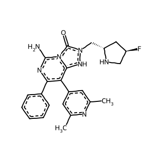 Cc1cc(-c2c(-c3ccccc3)nc(N)[n+]3c(=O)n(C[C@@H]4C[C@@H](F)CN4)[nH]c23)cc(C)n1